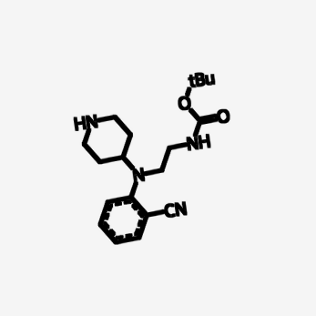 CC(C)(C)OC(=O)NCCN(c1ccccc1C#N)C1CCNCC1